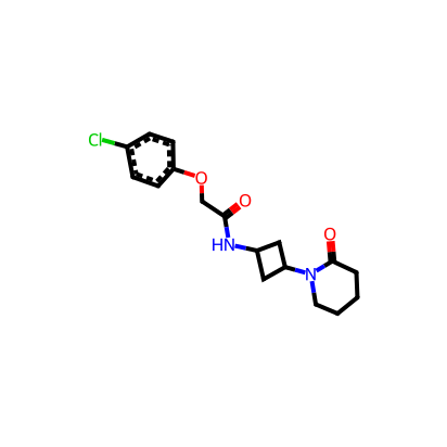 O=C(COc1ccc(Cl)cc1)NC1CC(N2CCCCC2=O)C1